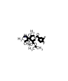 C=Cc1[nH]c2c(c1/C=C\C)C(C)(C)CN(C(=O)c1ccc(F)c(F)c1)C=C2C(=O)OC(C)C